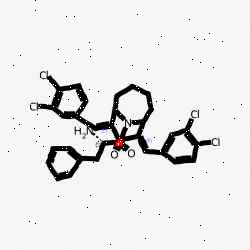 N[C@@H](Cc1ccccc1)C(=O)N1C2CCCCC1/C(=C\c1ccc(Cl)c(Cl)c1)C(=O)/C2=C/c1ccc(Cl)c(Cl)c1